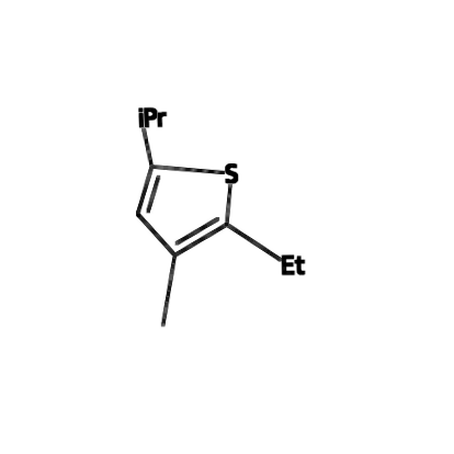 CCc1sc(C(C)C)cc1C